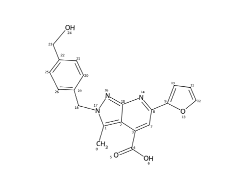 Cc1c2c(C(=O)O)cc(-c3ccco3)nc2nn1Cc1ccc(CO)cc1